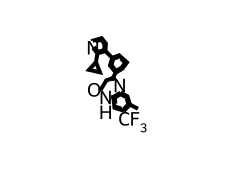 Cc1cc2c(cc1C(F)(F)F)NC(=O)CC(c1cccc(-c3cccnc3C3CC3)c1)=N2